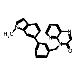 Cn1ccc2ccc(-c3cccc(Cn4c(=O)cnc5cccnc54)c3)cc21